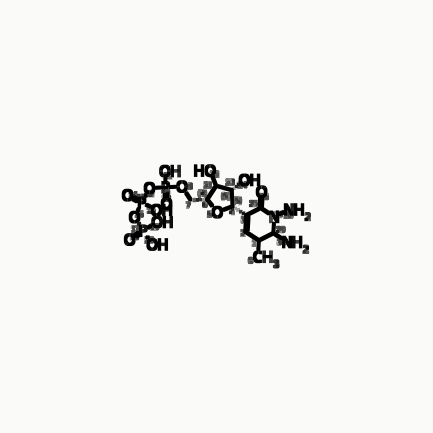 CC1C=C([C@@H]2O[C@H](COP(=O)(O)OP(=O)(O)OP(=O)(O)O)C(O)[C@@H]2O)C(=O)N(N)C1N